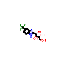 OC[C@@H](O)C(O)[C@@H](O)c1nc2cc(C(F)(F)F)ccc2[nH]1